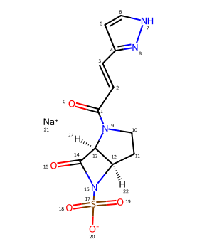 O=C(/C=C/c1cc[nH]n1)N1CC[C@@H]2[C@H]1C(=O)N2S(=O)(=O)[O-].[Na+]